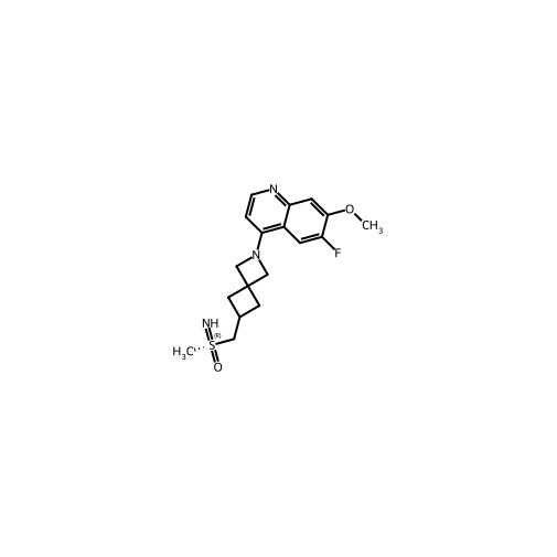 COc1cc2nccc(N3CC4(CC(C[S@](C)(=N)=O)C4)C3)c2cc1F